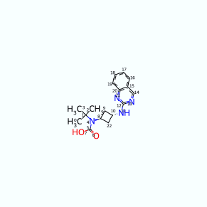 CC(C)(C)N(C(=O)O)[C@H]1C[C@H](Nc2ncc3ccccc3n2)C1